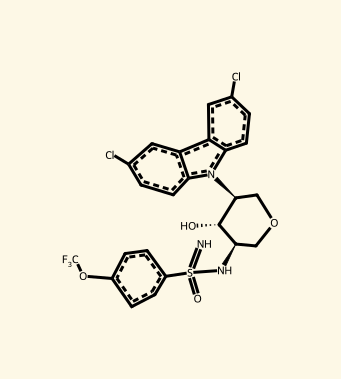 N=S(=O)(N[C@@H]1COC[C@H](n2c3ccc(Cl)cc3c3cc(Cl)ccc32)[C@H]1O)c1ccc(OC(F)(F)F)cc1